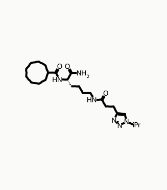 CC(C)n1cc(CCC(=O)NCCCC[C@H](NC(=O)C2CCCCCCCC2)C(N)=O)nn1